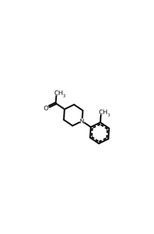 CC(=O)C1CCN(c2ccccc2C)CC1